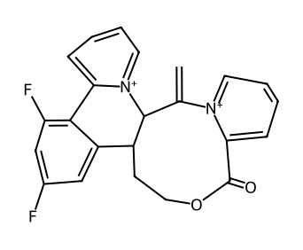 C=C1C2C(CCOC(=O)c3cccc[n+]31)c1cc(F)cc(F)c1-c1cccc[n+]12